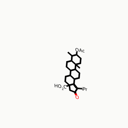 CC(=O)OC1CCC2(C)C(CCC3C4CCC5(C(=O)O)CC(=O)C(C(C)C)=C5C4CCC32)C1C